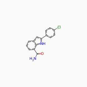 NC(=O)c1cccc2cc(-c3ccc(Cl)cc3)[nH]c12